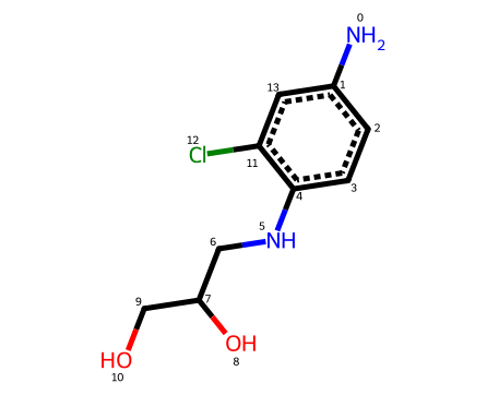 Nc1ccc(NCC(O)CO)c(Cl)c1